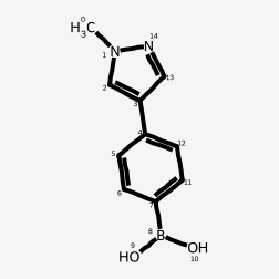 Cn1cc(-c2ccc(B(O)O)cc2)cn1